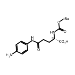 CC(C)(C)OC(=O)N[C@@H](CCC(=O)Nc1ccc(N)cc1)C(=O)O